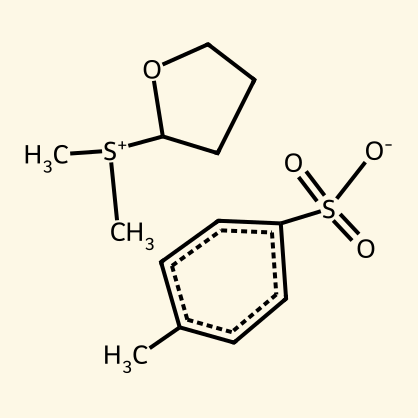 C[S+](C)C1CCCO1.Cc1ccc(S(=O)(=O)[O-])cc1